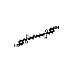 O=C(Cc1ccc(O)cc1)NCCCCCCOCCCNC(=O)Cc1ccc(O)cc1